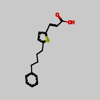 O=C(O)C=Cc1ccc(CCCCc2ccccc2)s1